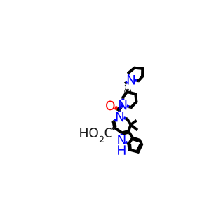 CC1(C)CN(C(=O)N2CCC[C@@H](CN3CCCCC3)C2)C=C(C(=O)O)c2[nH]c3ccccc3c21